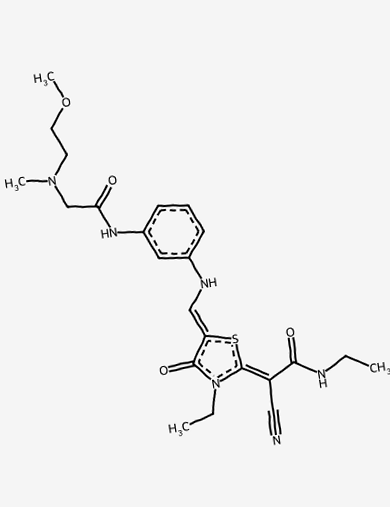 CCNC(=O)C(C#N)=c1sc(=CNc2cccc(NC(=O)CN(C)CCOC)c2)c(=O)n1CC